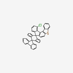 Clc1cccc2c1-c1c(ccc3sc4ccccc4c13)C21c2ccccc2C2(c3ccccc3-c3ccccc32)c2ccccc21